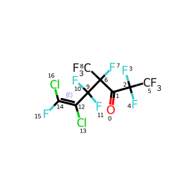 O=C(C(F)(F)C(F)(F)F)C(F)(C(F)(F)F)C(F)(F)/C(Cl)=C(/F)Cl